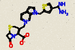 N=C(N)c1csc(Cn2ccc3cc[n+](CC4=C(C(=O)[O-])N5C(=O)CC5SC4)cc32)c1